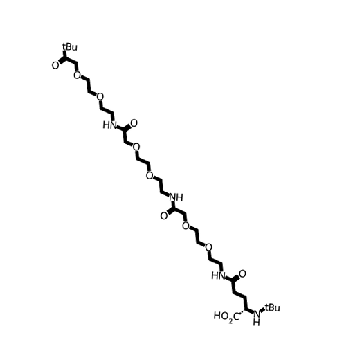 CC(C)(C)N[C@@H](CCC(=O)NCCOCCOCC(=O)NCCOCCOCC(=O)NCCOCCOCC(=O)C(C)(C)C)C(=O)O